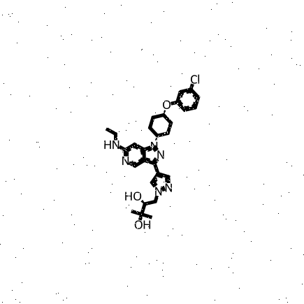 CCNc1cc2c(cn1)c(-c1cnn(C[C@H](O)C(C)(C)O)c1)nn2[C@H]1CC[C@@H](Oc2cccc(Cl)c2)CC1